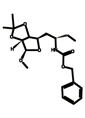 CC[C@@H](C[C@H]1O[C@@H](OC)[C@H]2OC(C)(C)OC12)NC(=O)OCc1ccccc1